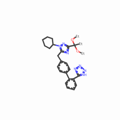 CCOC(CC)(OCC)c1nc(Cc2ccc(-c3ccccc3-c3nnn[nH]3)cc2)n(C2CCCCC2)n1